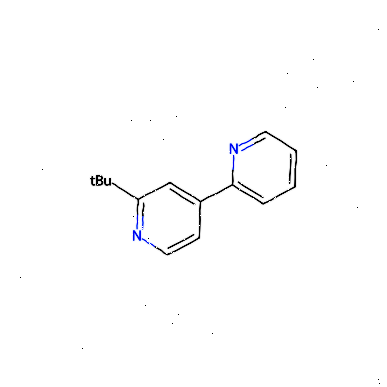 CC(C)(C)c1cc(-c2ccccn2)ccn1